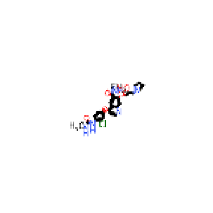 CNC(=O)Nc1ccc(Oc2ccnc3cc(OC[C@H](O)CN4CCCC4)c(C(=O)NC)cc23)cc1Cl